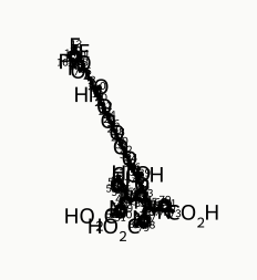 O=C(CCCCC(=O)Oc1c(F)c(F)cc(F)c1F)NCCOCCOCCOCCOCCOCCNC(=O)COc1cc(CN(Cc2cccc(C(=O)O)n2)Cc2cccc(C(=O)O)n2)nc(CN(Cc2cccc(C(=O)O)n2)Cc2cccc(C(=O)O)n2)c1